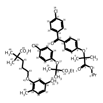 CC(C)OC(=O)C(C)(C)Oc1ccc(C(=O)c2ccc(Cl)cc2)cc1.CCOC(=O)C(C)(C)Oc1ccc(Cl)cc1.Cc1ccc(C)c(OCCCC(C)(C)C(=O)O)c1